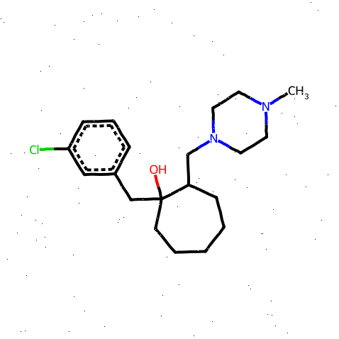 CN1CCN(CC2CCCCCC2(O)Cc2cccc(Cl)c2)CC1